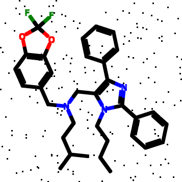 CCCCn1c(-c2ccccc2)nc(-c2ccccc2)c1CN(CCC(C)C)Cc1ccc2c(c1)OC(F)(F)O2